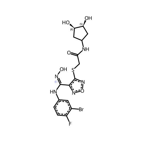 O=C(CSc1nonc1/C(=N\O)Nc1ccc(F)c(Br)c1)NC1C[C@@H](O)[C@@H](O)C1